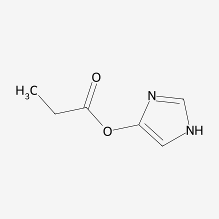 CCC(=O)Oc1c[nH]cn1